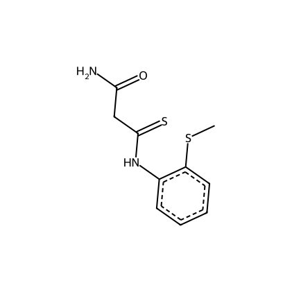 CSc1ccccc1NC(=S)CC(N)=O